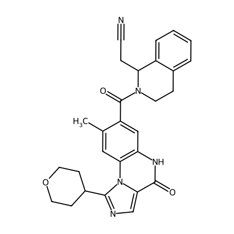 Cc1cc2c(cc1C(=O)N1CCc3ccccc3C1CC#N)[nH]c(=O)c1cnc(C3CCOCC3)n12